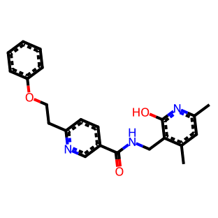 Cc1cc(C)c(CNC(=O)c2ccc(CCOc3ccccc3)nc2)c(O)n1